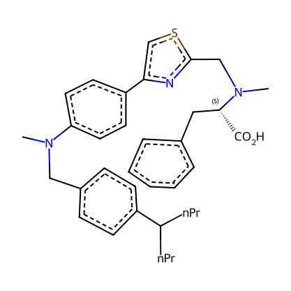 CCCC(CCC)c1ccc(CN(C)c2ccc(-c3csc(CN(C)[C@@H](Cc4ccccc4)C(=O)O)n3)cc2)cc1